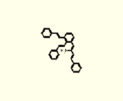 NC(C=Cc1ccccc1)=Cc1cccc(C=Cc2ccccc2)c1C=Cc1ccccc1